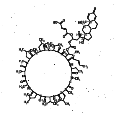 CC=CC[C@@H](C)C(OC(=O)OC(CC(=O)[C@@]1(O)CCC2C3CCC4=CC(=O)C=C[C@]4(C)C3[C@@H](O)C[C@@]21C)OC(=O)C=CC(=O)O)C1C(=O)NC(CC)C(=O)N(C)CC(=O)N(C)[C@@H](CC(C)C)C(=O)NC(C(C)C)C(=O)N(C)C(CC(C)C)C(=O)NC(C)C(=O)NC(C)C(=O)N(C)C(CC(C)C)C(=O)N(C)C(CC(C)C)C(=O)N(C)C(C(C)C)C(=O)N1C